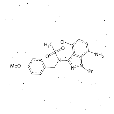 COc1ccc(CN(c2nn(C(C)C)c3c(N)ccc(Cl)c23)S(C)(=O)=O)cc1